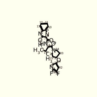 CC(C)[C@H](NC(=O)c1nc2ccccc2nc1O)C(=O)N1CCC(Oc2cnc(F)c(F)c2)CC1